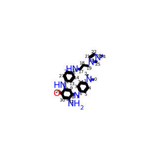 CN(C)c1ccc(/N=C2\C=C(Nc3ccc(NCCCn4cc[n+](C)c4)cc3)C(=O)C=C2N)cc1